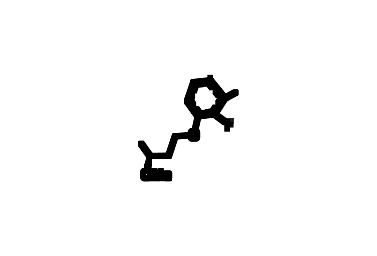 CO[C@@H](C)CCOc1cc[c]c(C)c1F